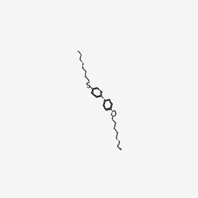 CCCCCCCCOc1ccc(-c2ccc(SCCCCCCCC)cc2)cc1